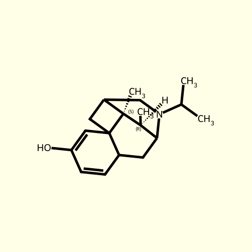 CC(C)N1CC2CC34C=C(O)C=CC3CC1[C@H](C)[C@]24C